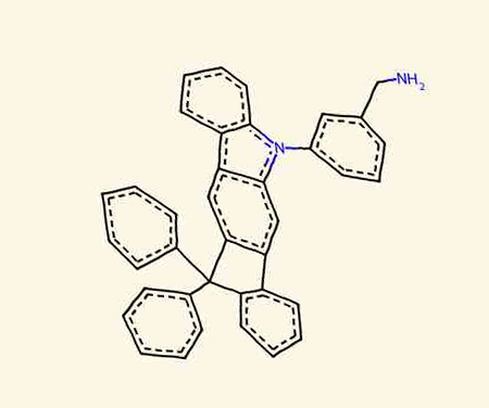 NCc1cccc(-n2c3ccccc3c3cc4c(cc32)-c2ccccc2C4(c2ccccc2)c2ccccc2)c1